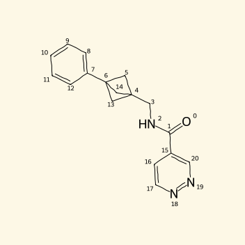 O=C(NCC12CC(c3ccccc3)(C1)C2)c1ccnnc1